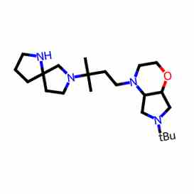 CC(C)(C)N1CC2OCCN(CCC(C)(C)N3CCC4(CCCN4)C3)C2C1